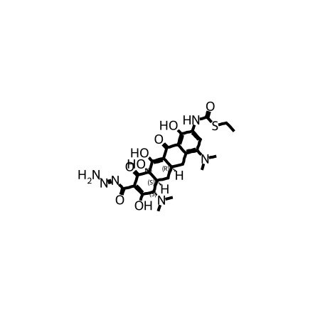 CCSC(=O)Nc1cc(N(C)C)c2c(c1O)C(=O)C1=C(O)[C@]3(O)C(=O)C(C(=O)N=NN)=C(O)[C@@H](N(C)C)[C@@H]3C[C@@H]1C2